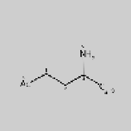 CC(=O)CCC(C)N